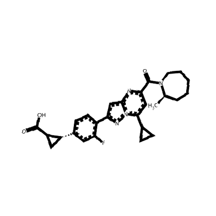 C[C@@H]1CCCCCN1C(=O)c1cc(C2CC2)n2nc(-c3ccc([C@@H]4CC4C(=O)O)cc3F)cc2n1